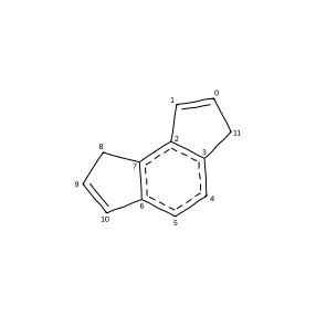 C1=Cc2c(ccc3c2CC=C3)C1